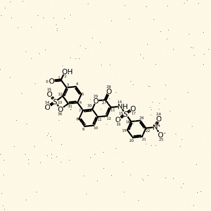 O=C(O)c1ccc(-c2cccc3cc(NS(=O)(=O)c4cccc([N+](=O)[O-])c4)c(=O)oc23)c2c1S(=O)(=O)O2